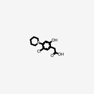 O=C(O)Cc1cc(Cl)c(N2CCCCC2)cc1O